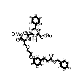 COC(=O)[C@H](COCCOc1cccc(CCC(=O)OCc2ccccc2)c1)NC(=O)[C@H](CCc1ccccc1)NC(=O)OC(C)(C)C